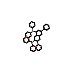 c1ccc(-c2cc(N(c3ccccc3)c3ccccc3)c3cc(N(c4ccccc4)c4ccccc4)c(-c4ccccc4)cc3c2)cc1